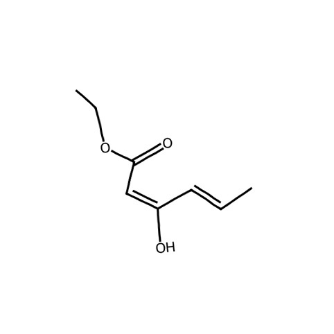 C/C=C/C(O)=C\C(=O)OCC